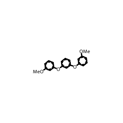 COc1cccc(Oc2cccc(Oc3cccc(OC)c3)c2)c1